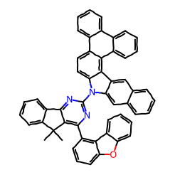 CC1(C)c2ccccc2-c2nc(-n3c4cc5ccccc5cc4c4c5c6ccccc6c6ccccc6c5ccc43)nc(-c3cccc4oc5ccccc5c34)c21